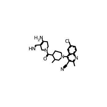 Cc1nc2ccc(Cl)cc2c(N2CCC(C(=O)N3CCC(N)=C(C=N)C3)C(C)C2)c1C#N